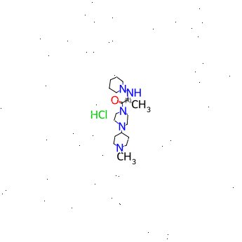 C[C@@H](NN1CCCCC1)C(=O)N1CCN(C2CCN(C)CC2)CC1.Cl